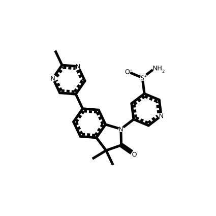 Cc1ncc(-c2ccc3c(c2)N(c2cncc([S+](N)[O-])c2)C(=O)C3(C)C)cn1